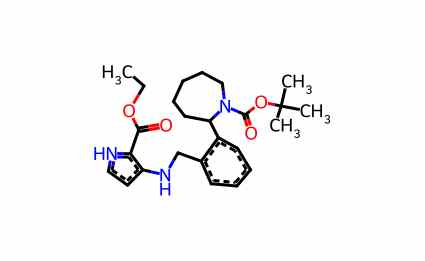 CCOC(=O)c1[nH]ccc1NCc1ccccc1C1CCCCCN1C(=O)OC(C)(C)C